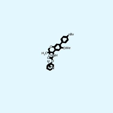 CCCCc1ccc(-c2cc3c(cc2OC)C(NC(=O)O[C@H]2CN4CCC2CC4)C(C)(C)CO3)cc1